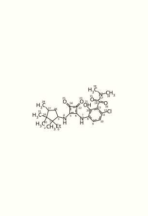 CCC1(C)C(Nc2c(Nc3ccc(Cl)c(S(=O)(=O)N(C)C)c3O)c(=O)c2=O)CC(C)C1(C)C